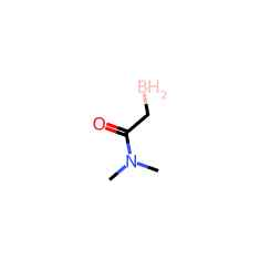 BCC(=O)N(C)C